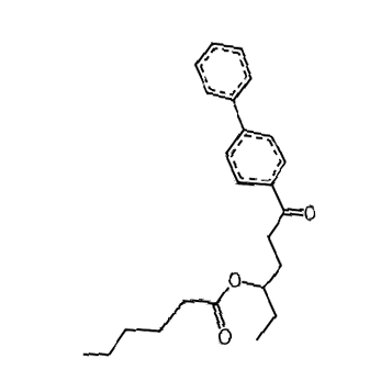 CCCCCC(=O)OC(CC)CCC(=O)c1ccc(-c2ccccc2)cc1